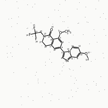 COc1cc(-c2cnc3cc(OI)ccn23)cc2c1C(=O)N(CC(F)(F)F)CC2